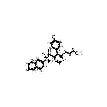 O=S(=O)(Nc1ncnc(OCCO)c1-c1ccc(Cl)cc1)c1ccc2ccccc2c1